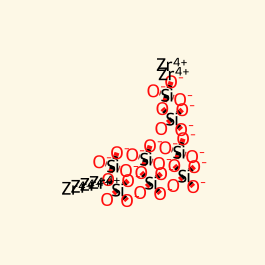 [O-][Si]([O-])([O-])O[Si]([O-])([O-])[O-].[O-][Si]([O-])([O-])O[Si]([O-])([O-])[O-].[O-][Si]([O-])([O-])O[Si]([O-])([O-])[O-].[O-][Si]([O-])([O-])O[Si]([O-])([O-])[O-].[Zr+4].[Zr+4].[Zr+4].[Zr+4].[Zr+4].[Zr+4]